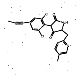 CC#Cc1cc(Cl)c(C2C(=O)NC(Cc3ccc(F)cn3)C2=O)c(Cl)c1